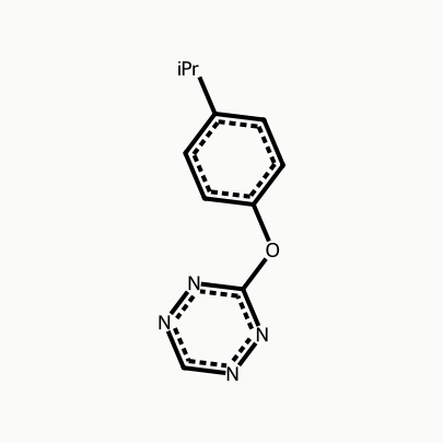 CC(C)c1ccc(Oc2nncnn2)cc1